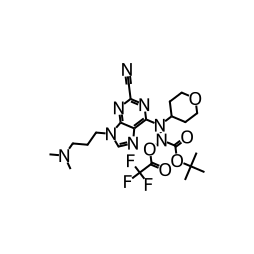 CN(C)CCCn1cnc2c(N(C3CCOCC3)N(OC(=O)C(F)(F)F)C(=O)OC(C)(C)C)nc(C#N)nc21